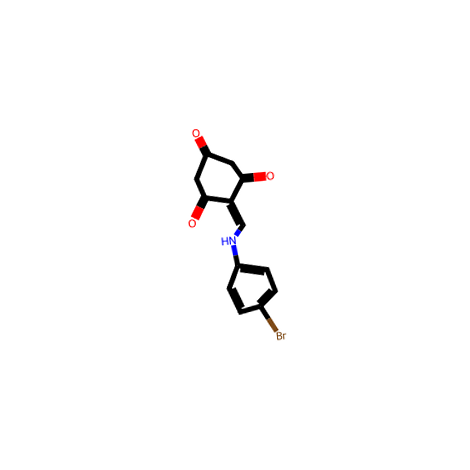 O=C1CC(=O)C(=CNc2ccc(Br)cc2)C(=O)C1